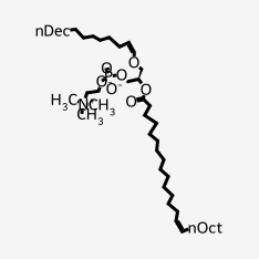 CCCCCCCC/C=C\CCCCCCCCCCCCCC(=O)O[C@H](CO/C=C\CCCCCCCCCCCCCCCC)COP(=O)([O-])OCC[N+](C)(C)C